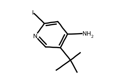 CC(C)(C)c1cnc(I)cc1N